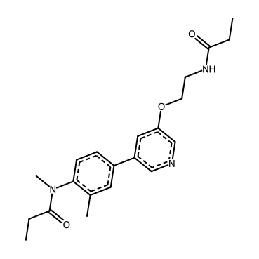 CCC(=O)NCCOc1cncc(-c2ccc(N(C)C(=O)CC)c(C)c2)c1